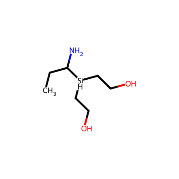 CCC(N)[SiH](CCO)CCO